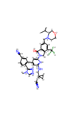 CC(C)[C@H]1COCCN1Cc1cc2c(c(C(F)(F)F)c1)CN(c1cc(-c3cc(C#N)ccc3-c3nncn3C)cc(NCC3(CC#N)CC3)n1)C2=O